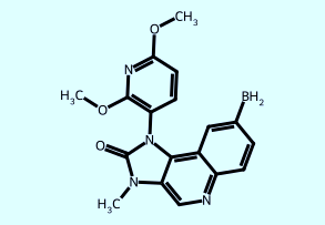 Bc1ccc2ncc3c(c2c1)n(-c1ccc(OC)nc1OC)c(=O)n3C